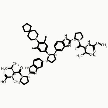 COC(=O)N[C@H](C(=O)N1CCC[C@H]1c1nc2cc([C@H]3CC[C@H](c4ccc5[nH]c([C@@H]6CCCN6C(=O)[C@H](C(C)C)N(C)C(=O)O)nc5c4)N3c3cc(F)c(N4CCC5(CCCC5)CC4)c(F)c3)ccc2[nH]1)C(C)C